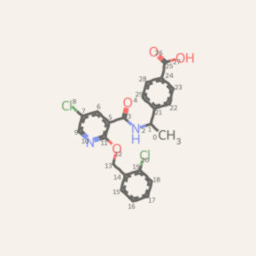 CC(NC(=O)c1cc(Cl)cnc1OCc1ccccc1Cl)c1ccc(C(=O)O)cc1